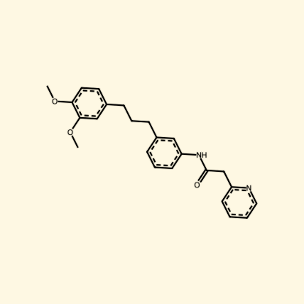 COc1ccc(CCCc2cccc(NC(=O)Cc3ccccn3)c2)cc1OC